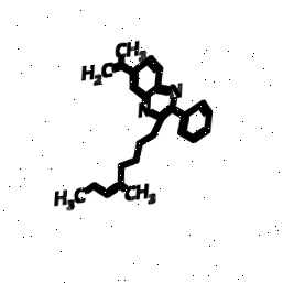 C=C(C)c1ccc2nc(-c3ccccc3)c(CCCC/C(C)=C\CC)nc2c1